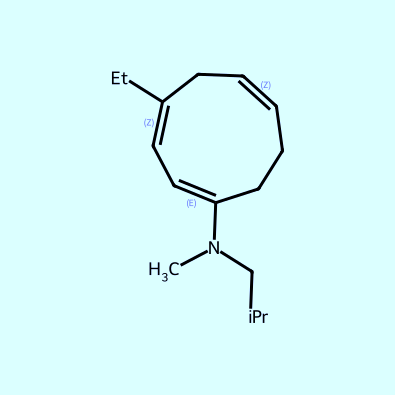 CC/C1=C/C=C(/N(C)CC(C)C)CC/C=C\C1